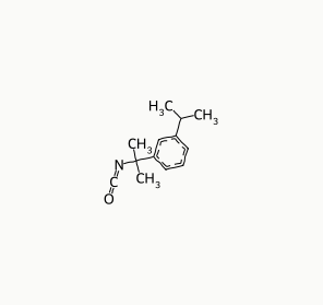 CC(C)c1cccc(C(C)(C)N=C=O)c1